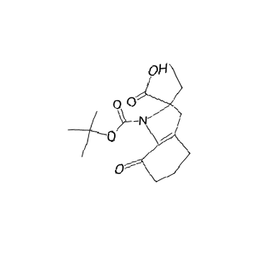 CCC1(C(=O)O)CC2=C(C(=O)CCC2)N1C(=O)OC(C)(C)C